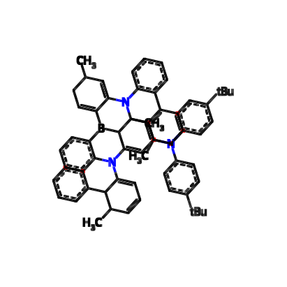 CC1C=C(c2ccccc2N2C3=CC(C)CC=C3B3c4ccccc4N(C4=CC=CC(C)C4c4ccccc4)C4=CC(N(c5ccc(C(C)(C)C)cc5)c5ccc(C(C)(C)C)cc5)=CC2(C)C34)C=CC1